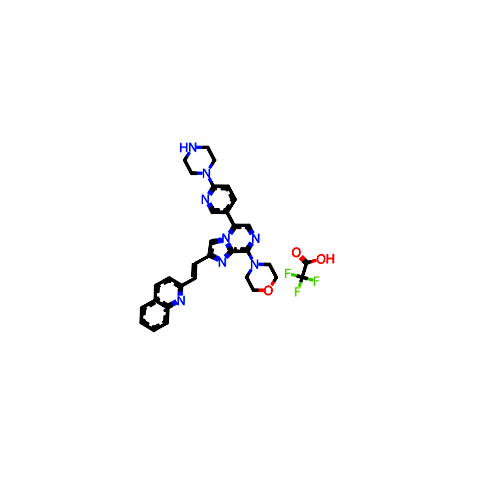 C(=C\c1cn2c(-c3ccc(N4CCNCC4)nc3)cnc(N3CCOCC3)c2n1)/c1ccc2ccccc2n1.O=C(O)C(F)(F)F